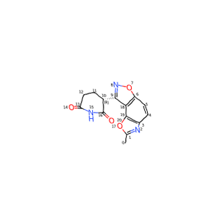 Cc1nc2ccc3onc([C@H]4CCC(=O)NC4=O)c3c2o1